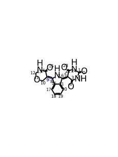 O=C1NC(=O)C(=c2[nH]/c(=C3/COCNC3=O)c3ccccc23)C(=O)N1